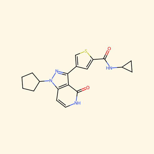 O=C(NC1CC1)c1cc(-c2nn(C3CCCC3)c3cc[nH]c(=O)c23)cs1